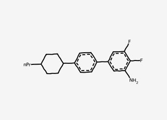 CCCC1CCC(c2ccc(-c3cc(N)c(F)c(F)c3)cc2)CC1